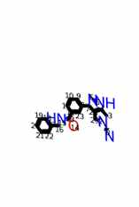 N#CN1Cc2[nH]nc(-c3cccc(C(=O)NCc4ccccc4)c3)c2C1